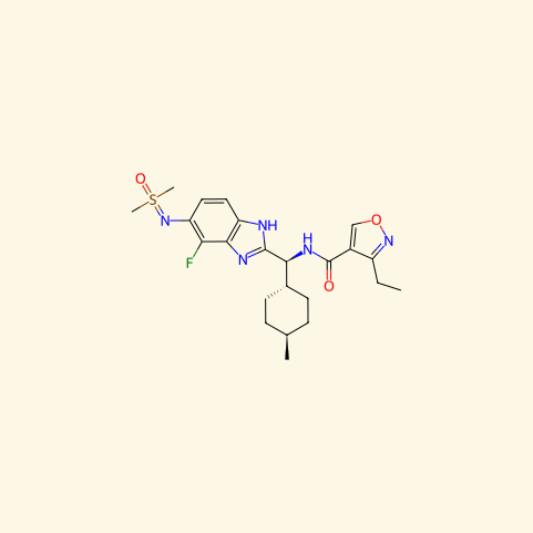 CCc1nocc1C(=O)N[C@H](c1nc2c(F)c(N=S(C)(C)=O)ccc2[nH]1)[C@H]1CC[C@H](C)CC1